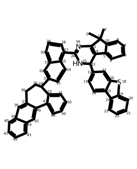 CC1(C)C2=C(c3ccccc31)C(c1ccc3c(c1)sc1ccccc13)NC(c1cccc3cc(C4CCc5cc6ccccc6cc5-c5ccccc54)ccc13)=N2